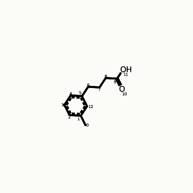 Cc1c[c]cc(CCCC(=O)O)c1